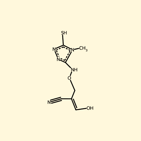 Cn1c(S)nnc1NOC/C(C#N)=C\O